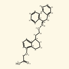 O=C(O)COc1cccc2c1CCCC2CCON=C(Cc1cccnc1)c1ccccc1